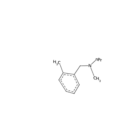 CCCN(C)Cc1ccccc1C